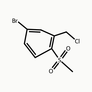 CS(=O)(=O)c1ccc(Br)cc1CCl